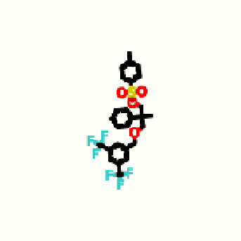 Cc1ccc(S(=O)(=O)OCC(C)(COCc2cc(C(F)(F)F)cc(C(F)(F)F)c2)c2ccccc2)cc1